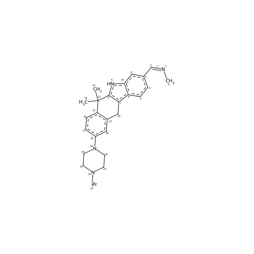 C/N=C\c1ccc2c3c([nH]c2c1)C(C)(C)c1ccc(N2CCN(C(C)C)CC2)cc1C3